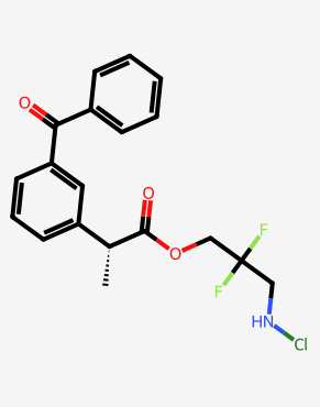 C[C@@H](C(=O)OCC(F)(F)CNCl)c1cccc(C(=O)c2ccccc2)c1